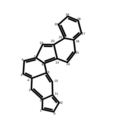 C1=Cc2cc3ccc4c(c3cc2=C1)=c1ccc2ccccc2c1=C4